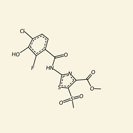 COC(=O)c1nc(NC(=O)c2ccc(Cl)c(O)c2F)sc1S(C)(=O)=O